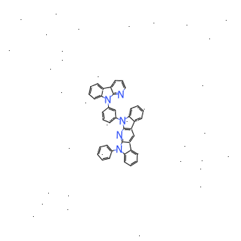 c1ccc(-n2c3ccccc3c3cc4c5ccccc5n(-c5cccc(-n6c7ccccc7c7cccnc76)c5)c4nc32)cc1